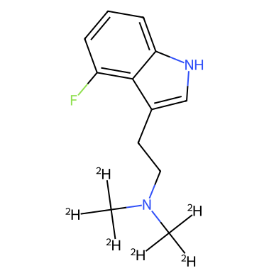 [2H]C([2H])([2H])N(CCc1c[nH]c2cccc(F)c12)C([2H])([2H])[2H]